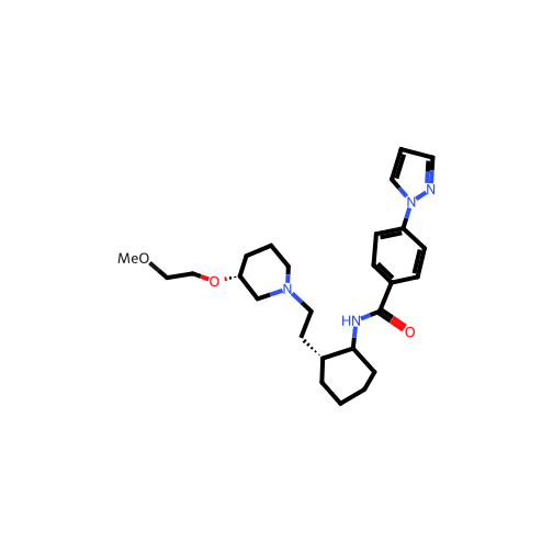 COCCO[C@@H]1CCCN(CC[C@H]2CCCCC2NC(=O)c2ccc(-n3cccn3)cc2)C1